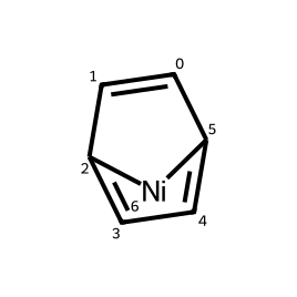 C1=C[C]2=CC=[C]1[Ni]2